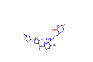 Cc1nn(C2CCN(C)C2)cc1Nc1ncc(Br)c(NCCCN2CCC(C)(C)OC2=O)n1